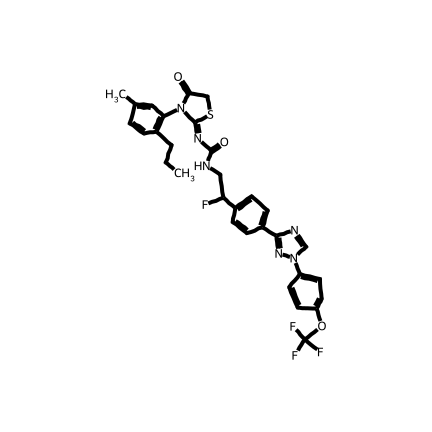 CCCc1ccc(C)cc1N1C(=O)CS/C1=N\C(=O)NCC(F)c1ccc(-c2ncn(-c3ccc(OC(F)(F)F)cc3)n2)cc1